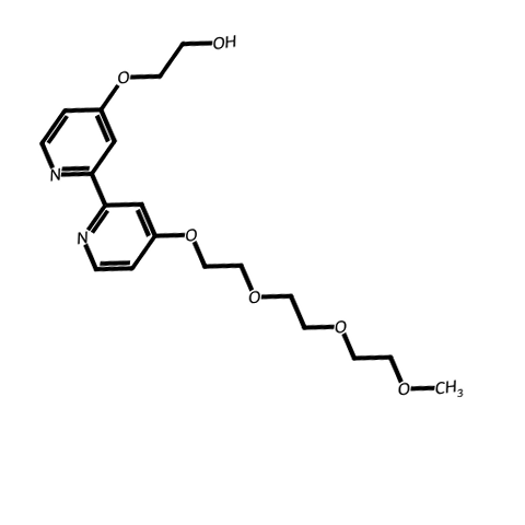 COCCOCCOCCOc1ccnc(-c2cc(OCCO)ccn2)c1